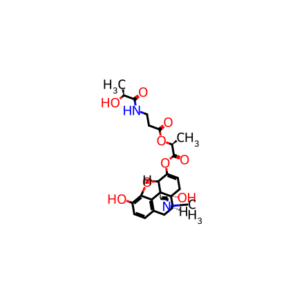 C[C@H](O)C(=O)NCCC(=O)O[C@@H](C)C(=O)OC1=CC[C@@]2(O)[C@H]3Cc4ccc(O)c5c4[C@@]2(C=CN3C)[C@H]1O5